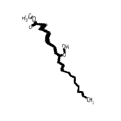 CCCCCCCCCCCCC(C=CC=CC=CC(=O)OC)OO